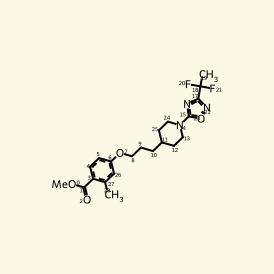 COC(=O)c1ccc(OCCCC2CCN(c3nc(C(C)(F)F)no3)CC2)cc1C